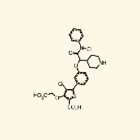 O=C(O)COc1c(C(=O)O)sc(-c2cccc(OC(C(=O)N(Cl)c3ccccc3)C3CCNCC3)c2)c1Cl